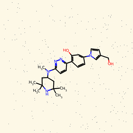 CN(c1ccc(-c2ccc(-n3ccc(CO)c3)cc2O)nn1)C1CC(C)(C)NC(C)(C)C1